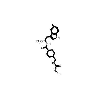 CC(C)(C)OC(=O)NCC1CCC(C(=O)N[C@H](Cc2c[nH]c3ccc(I)cc23)C(=O)O)CC1